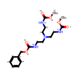 CC(C)(C)OC(=O)NCCN(CCNC(=O)OCc1ccccc1)CCNC(=O)OC(C)(C)C